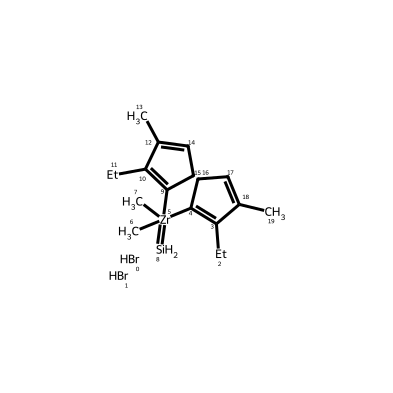 Br.Br.CCC1=[C]([Zr]([CH3])([CH3])(=[SiH2])[C]2=C(CC)C(C)=CC2)CC=C1C